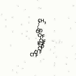 CCCCCC1COC(c2ccc(-c3cc(F)c(C(F)(F)Oc4ccc(-c5ccc(Cl)c(F)c5)c(F)c4)c(F)c3)c(F)c2)OC1